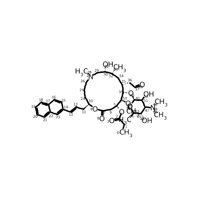 CCC(=O)O[C@@H]1CC(=O)O[C@@H](C/C=C/c2ccc3ccccc3c2)CCCN(C)C[C@H](O)[C@H](C)C[C@H](CC=O)[C@H](O[C@@H]2OC(C)[C@@H](O)C(N(C)C)C2O)[C@H]1OC